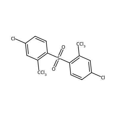 O=S(=O)(c1ccc(Cl)cc1C(Cl)(Cl)Cl)c1ccc(Cl)cc1C(Cl)(Cl)Cl